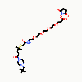 CC(C)(C)CN1CCN(C(=O)CCC(C)(C)SCC(=O)NCCOCCOCCOCCOCCC(=O)ON2C(=O)CCC2=O)CC1